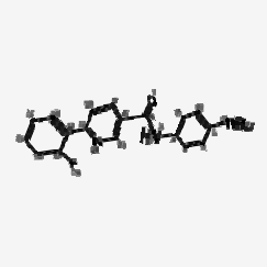 CCCCc1ccc(NC(=O)c2ccc(-c3ccccc3F)nc2)cc1